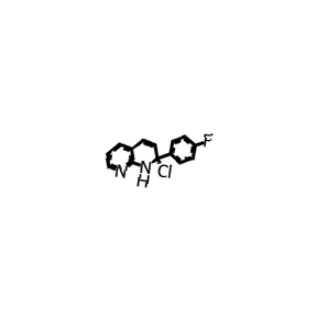 Fc1ccc(C2(Cl)C=Cc3cccnc3N2)cc1